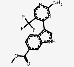 COC(=O)c1ccc2c(-c3nc(N)ncc3C(F)(F)F)c[nH]c2c1